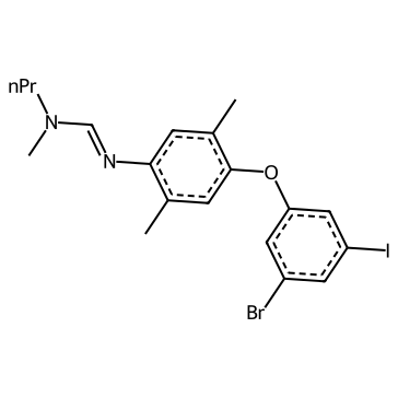 CCCN(C)C=Nc1cc(C)c(Oc2cc(Br)cc(I)c2)cc1C